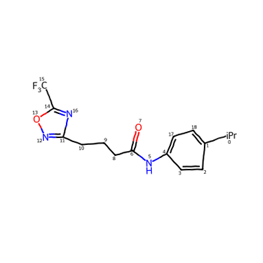 CC(C)c1ccc(NC(=O)CCCc2noc(C(F)(F)F)n2)cc1